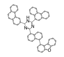 c1ccc2c(c1)ccc1ccc(C3N=C(c4cccc5c(-c6cccc7oc8ccccc8c67)cccc45)N=C(c4cc5ccccc5c5ccccc45)N3)cc12